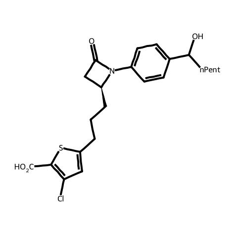 CCCCCC(O)c1ccc(N2C(=O)C[C@@H]2CCCc2cc(Cl)c(C(=O)O)s2)cc1